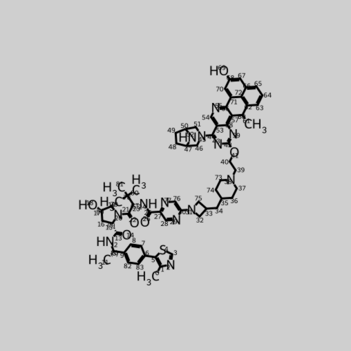 Cc1ncsc1-c1ccc([C@H](C)NC(=O)[C@@H]2C[C@@H](O)CN2C(=O)[C@@H](NC(=O)c2cnc(N3CC(CC4CCN(CCOc5nc(N6CC7CCC(C6)N7)c6cnc7c(c6n5)C(C)c5cccc6cc(O)cc-7c56)CC4)C3)cn2)C(C)(C)C)cc1